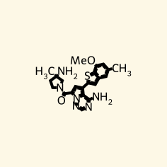 COc1cc(C)cc2cc(-c3cc(C(=O)N4CC[C@](C)(N)C4)n4ncnc(N)c34)sc12